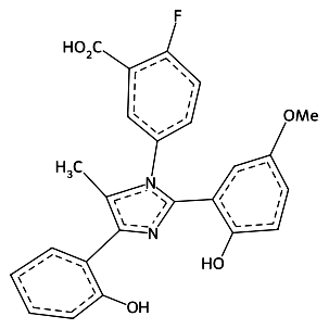 COc1ccc(O)c(-c2nc(-c3ccccc3O)c(C)n2-c2ccc(F)c(C(=O)O)c2)c1